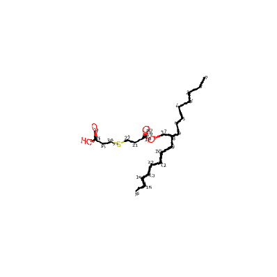 CCCCCCCCC(CCCCCCCC)COC(=O)CCSCCC(=O)O